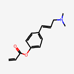 C=CC(=O)Oc1ccc(C=CCN(C)C)cc1